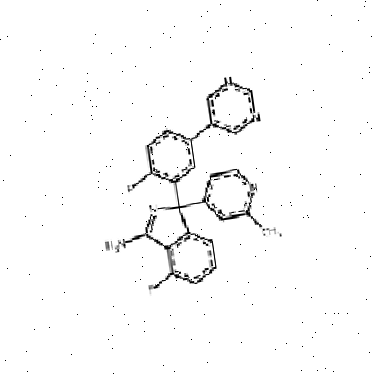 Cc1cc(C2(c3cc(-c4cncnc4)ccc3F)N=C(N)c3c(F)cccc32)ccn1